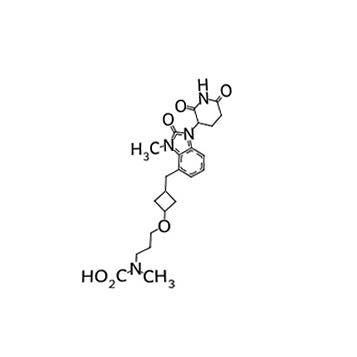 CN(CCCOC1CC(Cc2cccc3c2n(C)c(=O)n3C2CCC(=O)NC2=O)C1)C(=O)O